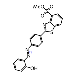 COS(=O)(=O)c1cccc2sc(-c3ccc(/N=N/c4ccccc4O)cc3)nc12